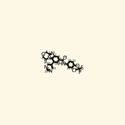 C[C@H]1COCc2nc3cc(C(=O)Nc4ccc(OC(F)(F)Cl)cc4)cc(-c4cncnc4)c3n21